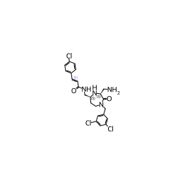 NC[C@@H]1N[C@H](CNC(=O)/C=C/c2ccc(Cl)cc2)CCN(Cc2cc(Cl)cc(Cl)c2)C1=O